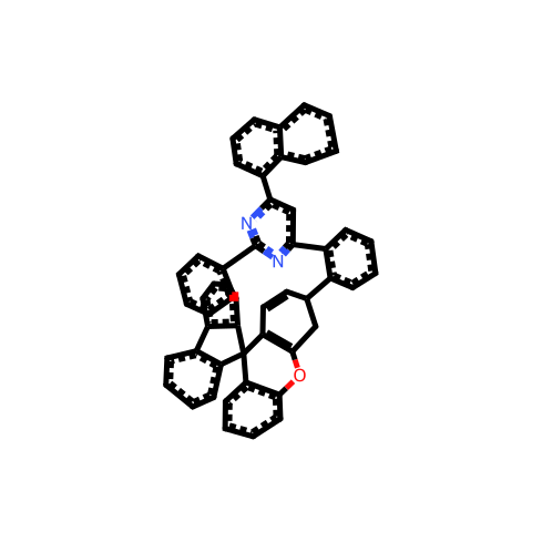 C1=CC(c2ccccc2-c2cc(-c3cccc4ccccc34)nc(-c3ccccc3)n2)CC2=C1C1(c3ccccc3O2)c2ccccc2-c2ccccc21